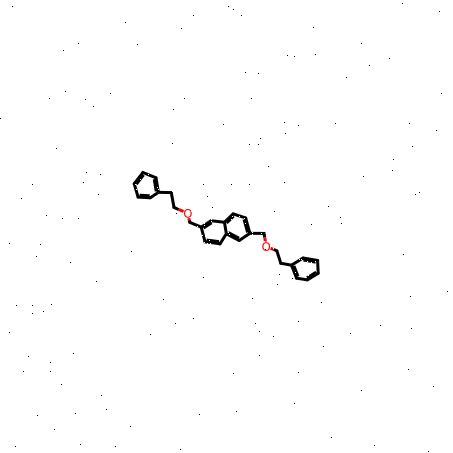 c1ccc(CCOCc2ccc3cc(COCCc4ccccc4)ccc3c2)cc1